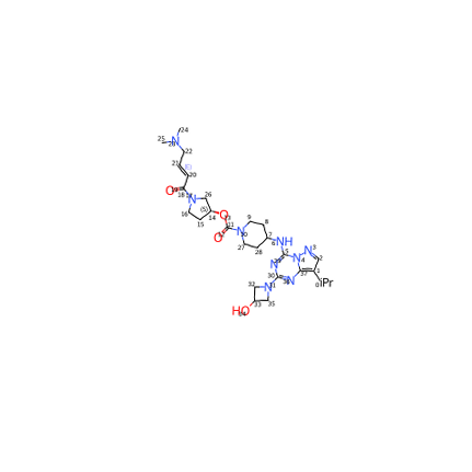 CC(C)c1cnn2c(NC3CCN(C(=O)O[C@H]4CCN(C(=O)/C=C/CN(C)C)C4)CC3)nc(N3CC(O)C3)nc12